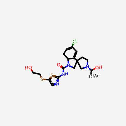 COC(O)N1CCC2(C1)CN(C(=O)Nc1ncc(SCCO)s1)C1CC=C(Cl)C=C12